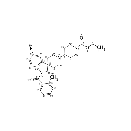 CCOC(=O)N1CCC(N2CCC3(CC2)CN(C(=O)c2ccccc2C)c2ccc(F)cc23)CC1